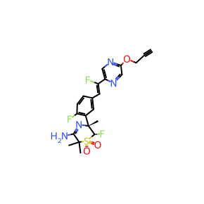 C#CCOc1cnc(/C(F)=C/c2ccc(F)c([C@@]3(C)N=C(N)C(C)(C)S(=O)(=O)[C@@H]3F)c2)cn1